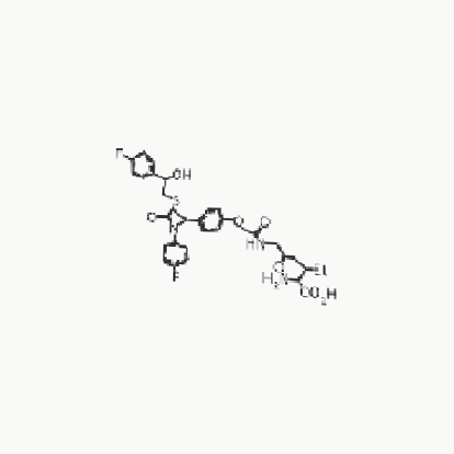 CCC(CC(=O)CNC(=O)COc1ccc([C@@H]2[C@@H](SCC(O)c3ccc(F)cc3)C(=O)N2c2ccc(F)cc2)cc1)[C@@H](N)C(=O)O